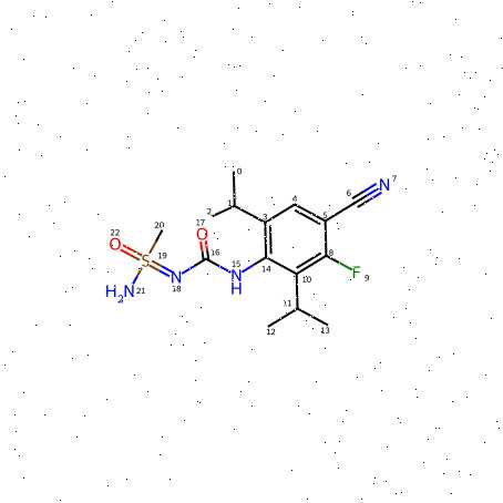 CC(C)c1cc(C#N)c(F)c(C(C)C)c1NC(=O)N=S(C)(N)=O